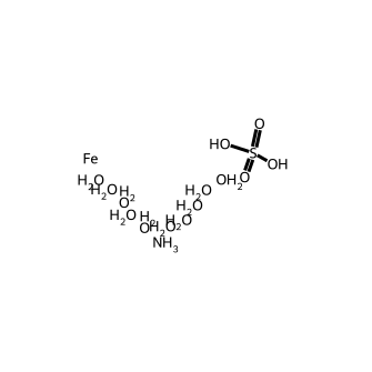 N.O.O.O.O.O.O.O.O.O.O.O=S(=O)(O)O.[Fe]